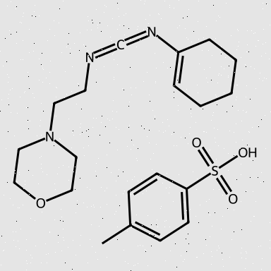 C(=NCCN1CCOCC1)=NC1=CCCCC1.Cc1ccc(S(=O)(=O)O)cc1